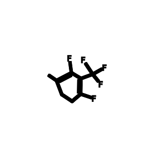 CC1=C(F)C(C(F)(F)F)=C(F)CC1